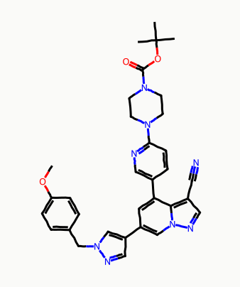 COc1ccc(Cn2cc(-c3cc(-c4ccc(N5CCN(C(=O)OC(C)(C)C)CC5)nc4)c4c(C#N)cnn4c3)cn2)cc1